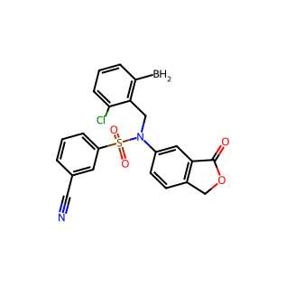 Bc1cccc(Cl)c1CN(c1ccc2c(c1)C(=O)OC2)S(=O)(=O)c1cccc(C#N)c1